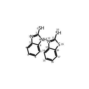 Sc1nc2ccccc2[nH]1.Sc1nc2ccccc2s1